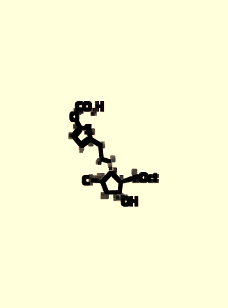 CCCCCCCC[C@@H]1[C@@H](CCCc2ccc(OC(=O)O)s2)[C@H](Cl)C[C@H]1O